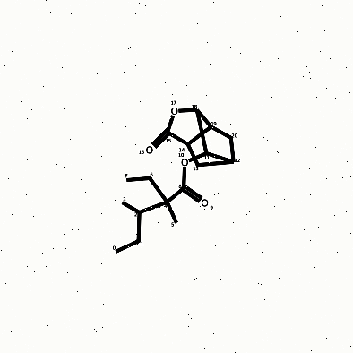 CCC(C)C(C)(CC)C(=O)OC1C2CC3C(=O)OC1C3C2